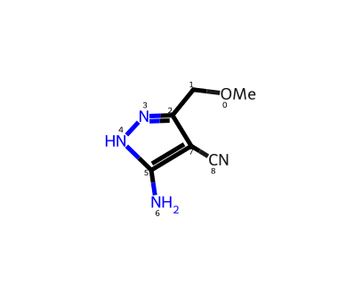 COCc1n[nH]c(N)c1C#N